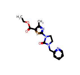 CCOC(=O)c1sc(N2CCN(Cc3ccccn3)C2=O)nc1C